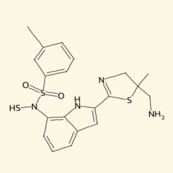 Cc1cccc(S(=O)(=O)N(S)c2cccc3cc(C4=NCC(C)(CN)S4)[nH]c23)c1